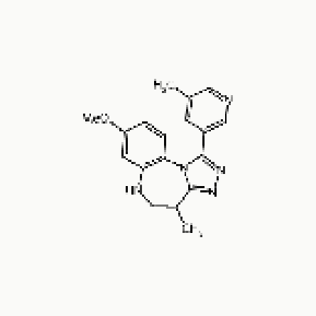 COc1ccc2c(c1)NCC(C)c1nnc(-c3cncc(C)c3)n1-2